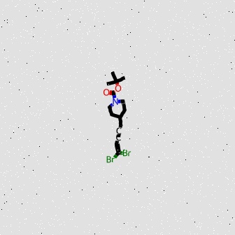 CC(C)(C)OC(=O)N1CCC(CCCC=C(Br)Br)CC1